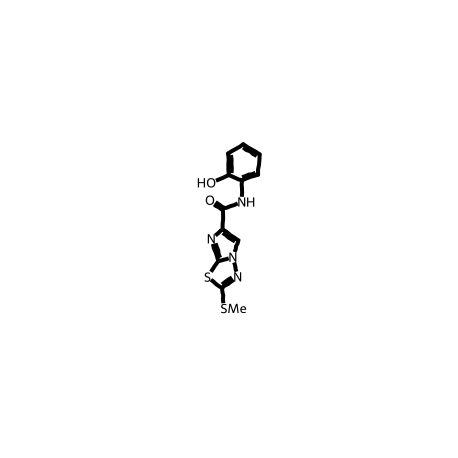 CSc1nn2cc(C(=O)Nc3ccccc3O)nc2s1